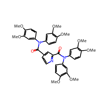 COc1ccc(N(C(=O)c2ccnc(C(=O)N(c3ccc(OC)c(OC)c3)c3ccc(OC)c(OC)c3)c2)c2ccc(OC)c(OC)c2)cc1OC